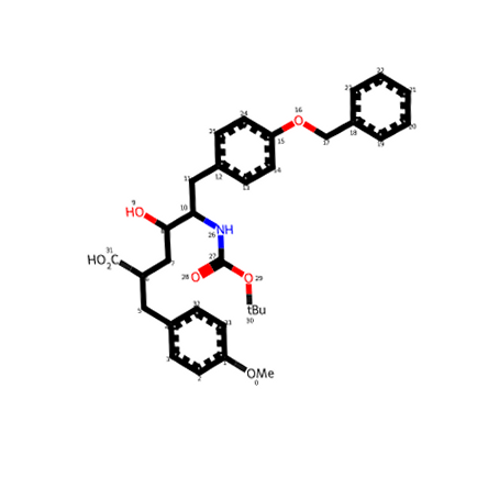 COc1ccc(CC(CC(O)C(Cc2ccc(OCc3ccccc3)cc2)NC(=O)OC(C)(C)C)C(=O)O)cc1